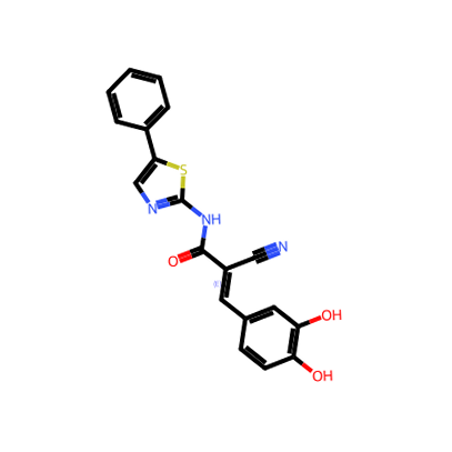 N#C/C(=C\c1ccc(O)c(O)c1)C(=O)Nc1ncc(-c2ccccc2)s1